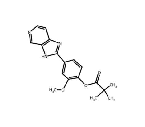 COc1cc(-c2nc3ccncc3[nH]2)ccc1OC(=O)C(C)(C)C